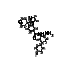 Nc1ccc(-c2ccc(F)cc2)cc1NC(=O)c1ccc(C2(c3nccs3)CCOCC2)cc1